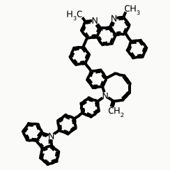 C=C1/C=C\C=C/Cc2cc(-c3cccc(-c4cc(C)nc5c4ccc4c(-c6ccccc6)cc(C)nc45)c3)ccc2N1c1ccc(-c2ccc(-n3c4ccccc4c4ccccc43)cc2)cc1